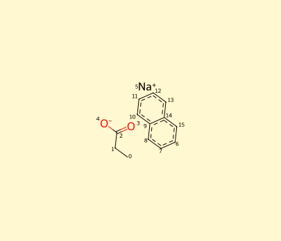 CCC(=O)[O-].[Na+].c1ccc2ccccc2c1